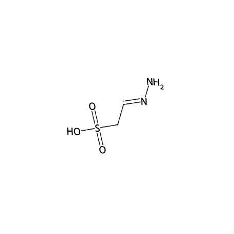 NN=CCS(=O)(=O)O